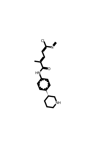 C=N/C(Cl)=C\C=C(/C)C(=O)Nc1ccc([C@H]2CCCNC2)cc1